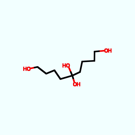 OCCCCC(O)(O)CCCCO